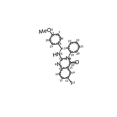 COc1ccc(CNc2nc3ccc(I)cc3c(=O)n2-c2ccccc2)cc1